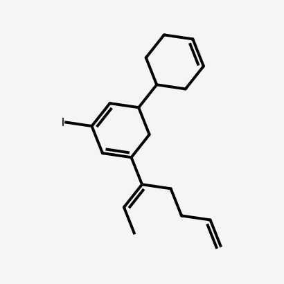 C=CCC/C(=C\C)C1=CC(I)=CC(C2CC=CCC2)C1